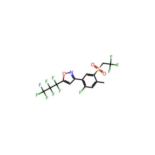 Cc1cc(F)c(-c2cc(C(F)(F)C(F)(F)C(F)(F)F)on2)cc1S(=O)(=O)CC(F)(F)F